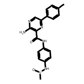 Cc1ccc(-c2cnc(N)c(C(=O)Nc3ccc(N[S+](C)[O-])cc3)n2)cc1